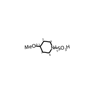 COC1CCN(S(=O)(=O)O)CC1